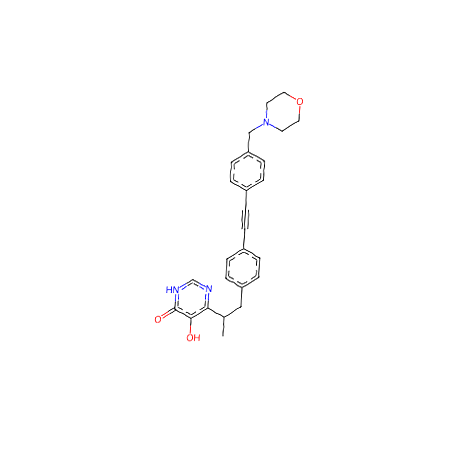 CC(Cc1ccc(C#Cc2ccc(CN3CCOCC3)cc2)cc1)c1nc[nH]c(=O)c1O